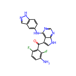 Nc1ccc(F)c(C(=O)c2c[nH]c3ncnc(Nc4ccc5[nH]ncc5c4)c23)c1F